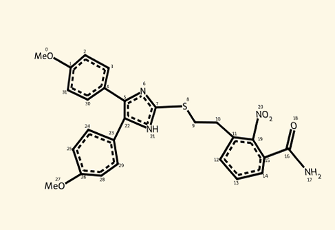 COc1ccc(-c2nc(SCCc3cccc(C(N)=O)c3[N+](=O)[O-])[nH]c2-c2ccc(OC)cc2)cc1